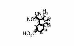 C=C1C(=C(C#N)C#N)c2cc(C(=O)O)ccc2S1(=O)=O